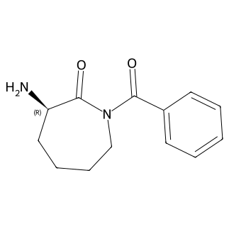 N[C@@H]1CCCCN(C(=O)c2ccccc2)C1=O